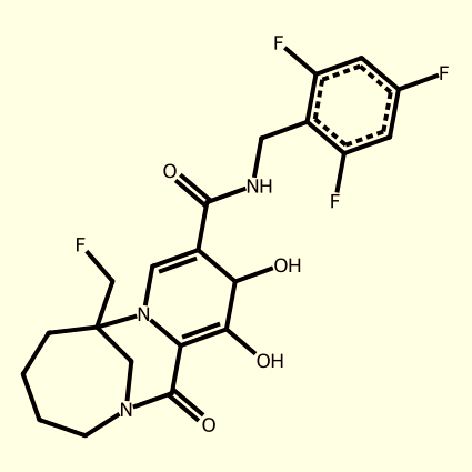 O=C(NCc1c(F)cc(F)cc1F)C1=CN2C(=C(O)C1O)C(=O)N1CCCCC2(CF)C1